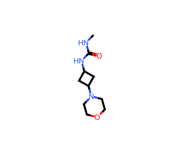 CNC(=O)NC1CC(N2CCOCC2)C1